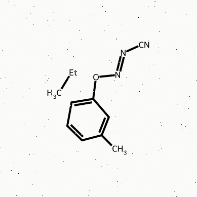 CCC.Cc1cccc(ON=NC#N)c1